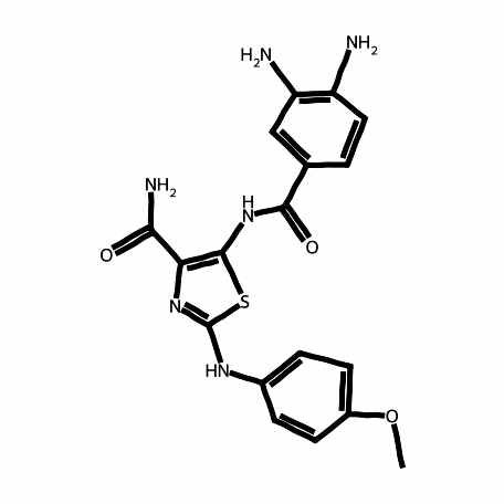 COc1ccc(Nc2nc(C(N)=O)c(NC(=O)c3ccc(N)c(N)c3)s2)cc1